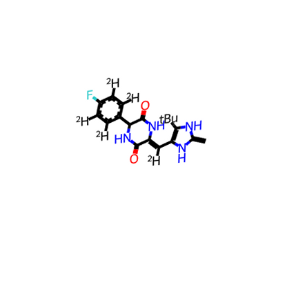 [2H]/C(C1=C(C(C)(C)C)NC(=C)N1)=C1/NC(=O)C(c2c([2H])c([2H])c(F)c([2H])c2[2H])NC1=O